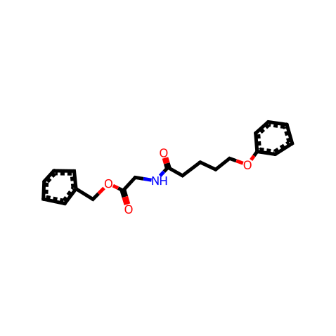 O=C(CCCCOc1ccccc1)NCC(=O)OCc1ccccc1